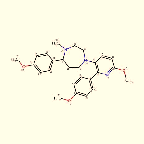 COc1ccc(-c2nc(OC)ccc2N2CCC(c3ccc(OC)cc3)N(C)CC2)cc1